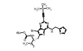 C[C@H](F)[C@@H](Cc1oc2c(NCc3cccs3)nc(C#C[Si](C)(C)C)nc2c1Br)NC(=O)OC(C)(C)C